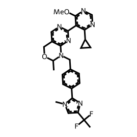 COc1ncnc(C2CC2)c1-c1ncc2c(n1)N(Cc1ccc(-c3nc(C(C)(F)F)cn3C)cc1)C(C)OC2